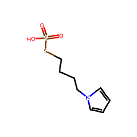 O=S(=O)(O)SCCCCn1cccc1